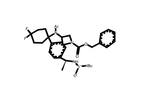 CC(=O)N(C1CN(C(=O)OCc2ccccc2)C1)C1(c2ccc([C@H](C)N[S+]([O-])C(C)(C)C)cc2)CCC(F)(F)CC1